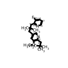 COc1cc(CC(C)(C)Cc2ncccc2F)cnc1CC(C)(C)C